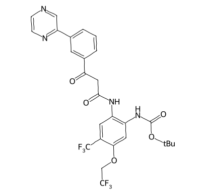 CC(C)(C)OC(=O)Nc1cc(OCC(F)(F)F)c(C(F)(F)F)cc1NC(=O)CC(=O)c1cccc(-c2cnccn2)c1